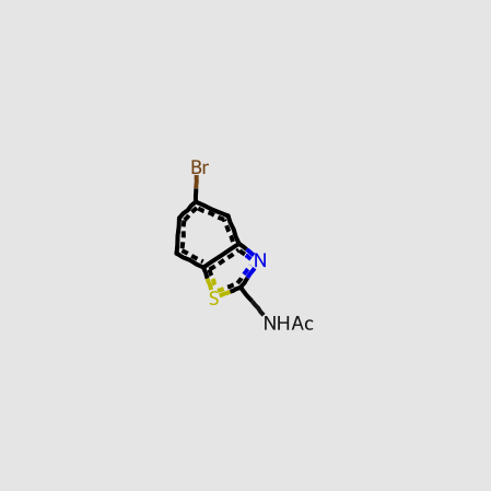 CC(=O)Nc1nc2cc(Br)ccc2s1